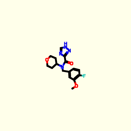 COc1cc(CN(C(=O)c2nc[nH]n2)C2CCOCC2)ccc1F